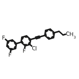 CCCc1ccc(C#Cc2ccc(-c3cc(F)cc(F)c3)c(F)c2Cl)cc1